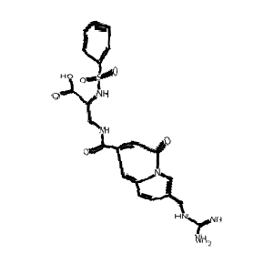 N=C(N)NCc1ccc2cc(C(=O)NCC(NS(=O)(=O)c3ccccc3)C(=O)O)cc(=O)n2c1